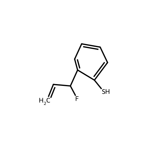 C=CC(F)c1ccccc1S